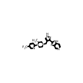 C[C@@H]1CN(Cc2c[nH]nc2-c2nc3cnccc3[nH]2)CCN1c1ccc(C(F)(F)F)cn1